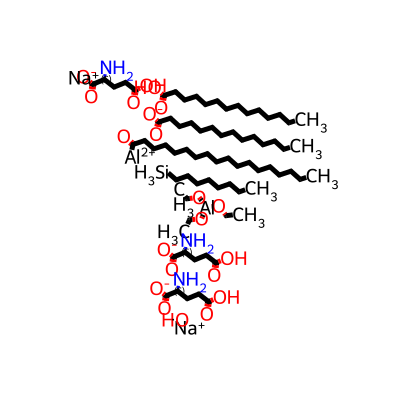 CCCCCCCCCCCCCC(=O)O.CCCCCCCCCCCCCC(=O)[O-].CCCCCCCCCCCCCCCCC[C](=O)[Al+2].CCCCCCCC[SiH3].CC[O][Al]([O]CC)[O]CC.N[C@@H](CCC(=O)O)C(=O)[O-].N[C@@H](CCC(=O)O)C(=O)[O-].N[C@@H](CCC(=O)O)C(=O)[O-].[Na+].[Na+].[OH]